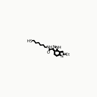 CCn1cc2c(ccc3c(C(=O)NCCCCCCS)n[nH]c32)n1